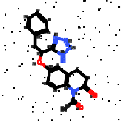 CCC(=O)N1C(=O)CCc2cc(OC(Cc3ccccc3)c3nnn[nH]3)ccc21